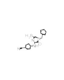 Bc1cn(Cc2ccccc2)c(=O)c(Nc2ccc(C#N)cc2)n1